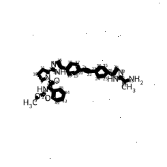 COC(=O)N[C@@H](C(=O)N1CCC[C@H]1c1ncc(-c2ccc(C#Cc3ccc(-c4cnc([C@H](C)N)[nH]4)cc3)cc2)[nH]1)c1ccccc1